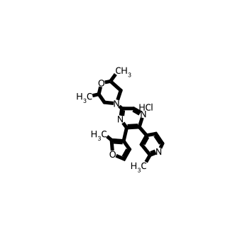 Cc1cc(-c2ncc(N3CC(C)OC(C)C3)nc2-c2ccoc2C)ccn1.Cl